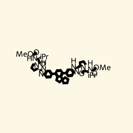 COC(=O)N[C@H](C(=O)N1CCCC1c1nc2ccc(-c3ccc(-c4ccc5nc([C@@H]6CCCN6C(=O)[C@@H](NC(=O)OC)C(C)C)[nH]c5c4)c4c3C3(CCCC3)CC4)cc2[nH]1)C(C)C